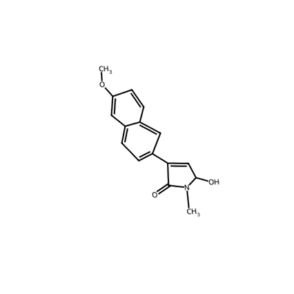 COc1ccc2cc(C3=CC(O)N(C)C3=O)ccc2c1